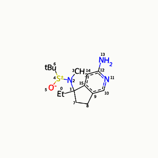 CCC1(N(C)[S+]([O-])C(C)(C)C)CCc2cnc(N)cc21